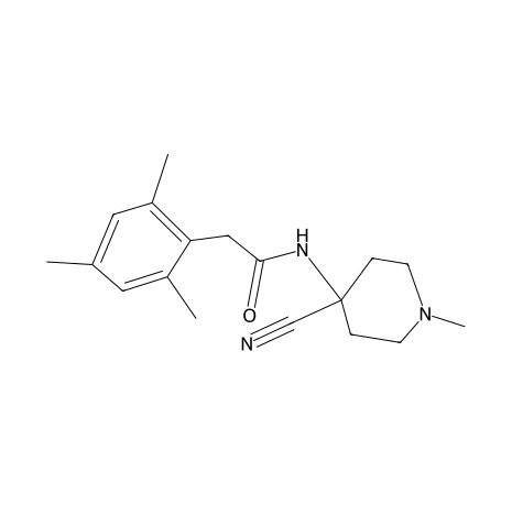 Cc1cc(C)c(CC(=O)NC2(C#N)CCN(C)CC2)c(C)c1